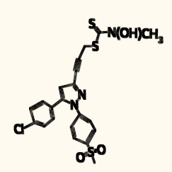 CN(O)C(=S)SCC#Cc1cc(-c2ccc(Cl)cc2)n(-c2ccc(S(C)(=O)=O)cc2)n1